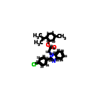 CC1CCC(C(C)C)[C@H](OC(=O)Cn2c(-c3ccc(Cl)cc3)nc3ccccc32)C1